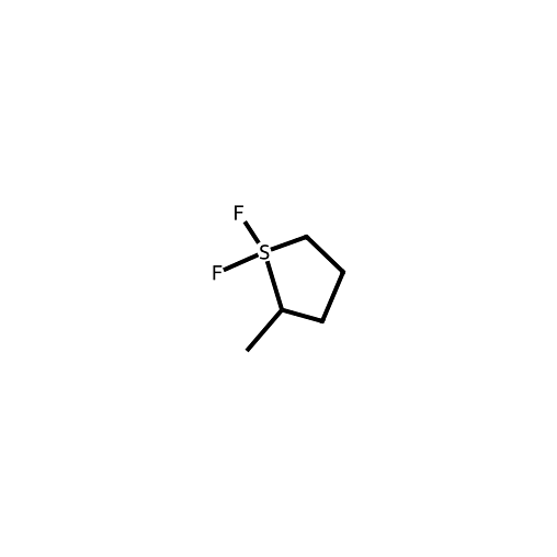 CC1CCCS1(F)F